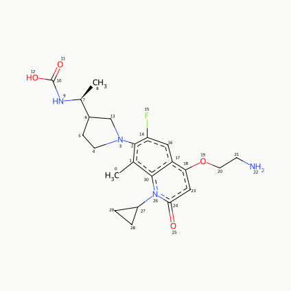 Cc1c(N2CCC([C@H](C)NC(=O)O)C2)c(F)cc2c(OCCN)cc(=O)n(C3CC3)c12